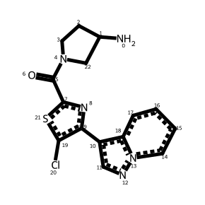 NC1CCN(C(=O)c2nc(-c3cnn4ccccc34)c(Cl)s2)C1